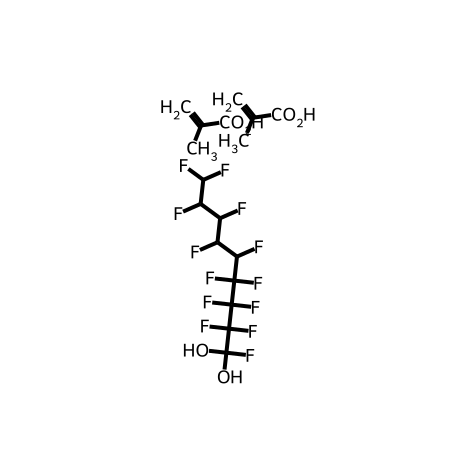 C=C(C)C(=O)O.C=C(C)C(=O)O.OC(O)(F)C(F)(F)C(F)(F)C(F)(F)C(F)C(F)C(F)C(F)C(F)F